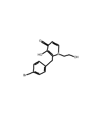 O=c1ccn(CCO)c(Cc2ccc(Br)cc2)c1O